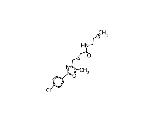 COCCNC(=O)CSCc1nc(-c2ccc(Cl)cc2)oc1C